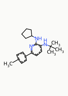 Cc1ccc(-c2ccc(NC(C)(C)C)c(NC3CCCC3)n2)cc1